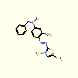 CCN(Cc1ccccc1)c1ccc(/N=N/c2sc(C)c[n+]2C)c(C)c1